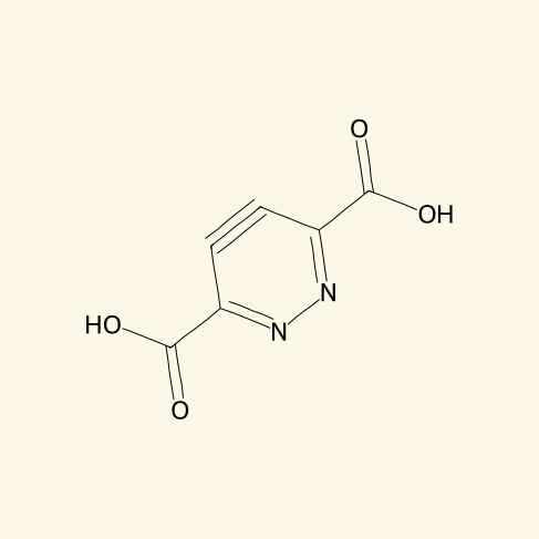 O=C(O)c1c#cc(C(=O)O)nn1